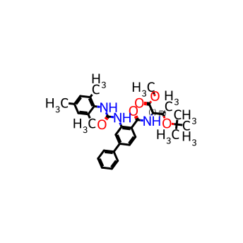 COC(=O)[C@@H](NC(=O)c1ccc(-c2ccccc2)cc1NC(=O)Nc1c(C)cc(C)cc1C)[C@@H](C)OC(C)(C)C